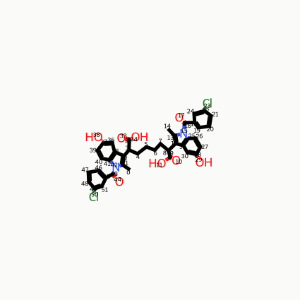 Cc1c(C(CCCCC(C(=O)O)c2c(C)n(C(=O)c3cccc(Cl)c3)c3ccc(O)cc23)C(=O)O)c2cc(O)ccc2n1C(=O)c1cccc(Cl)c1